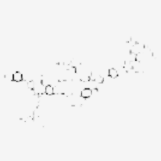 COC(=O)N[C@H](C(=O)N[C@@H](C)C(=O)Nc1ccc(C2=CN3C(=O)c4cc(OC)c(OCCCOc5cc6c(cc5OC)C(=O)N5C=C(c7ccc8c(c7)OCO8)C[C@H]5C(=O)N6COCC[Si](C)(C)C)cc4N(COCC[Si](C)(C)C)C(=O)[C@@H]3C2)cc1)C(C)C